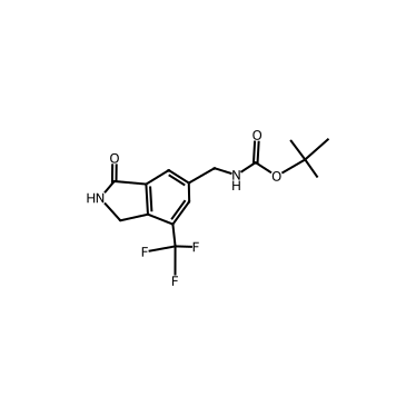 CC(C)(C)OC(=O)NCc1cc2c(c(C(F)(F)F)c1)CNC2=O